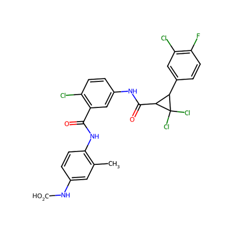 Cc1cc(NC(=O)O)ccc1NC(=O)c1cc(NC(=O)C2C(c3ccc(F)c(Cl)c3)C2(Cl)Cl)ccc1Cl